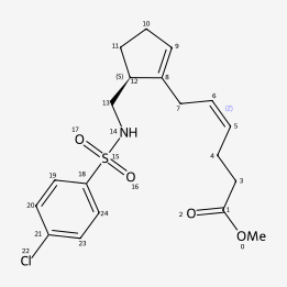 COC(=O)CC/C=C\CC1=CCC[C@@H]1CNS(=O)(=O)c1ccc(Cl)cc1